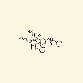 COc1cc(Nc2nc3ccccc3nc2[AsH]S(=O)(=O)c2cccc(NC(=O)Cc3ccccc3)c2)cc(OC)c1